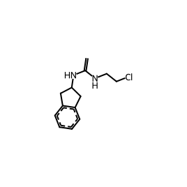 C=C(NCCCl)NC1Cc2ccccc2C1